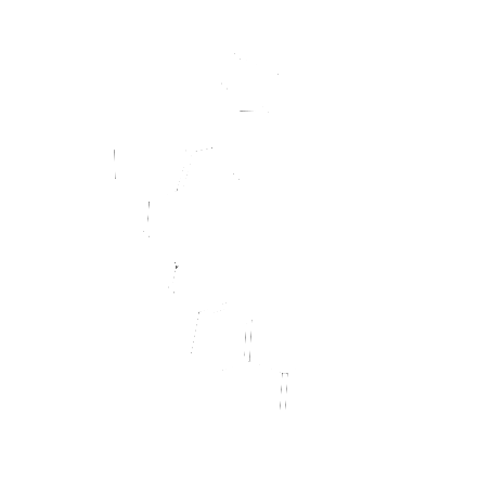 CCCCOC(=O)c1ccc(NC(=O)NC(CC(C)C)c2nc(-c3nnc[nH]3)no2)cc1